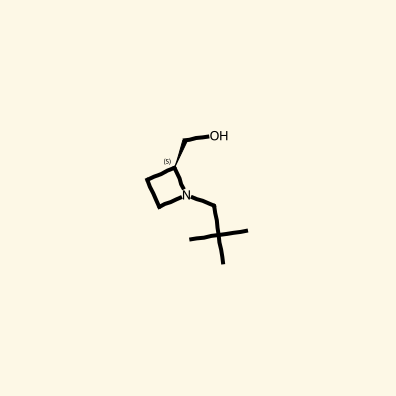 CC(C)(C)CN1CC[C@H]1CO